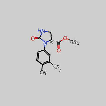 CCCCOC(=O)[C@H]1CNC(=O)N1c1ccc(C#N)c(C(F)(F)F)c1